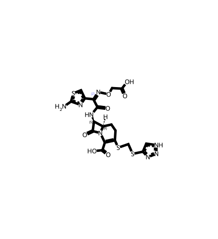 Nc1nc(/C(=N/OCC(=O)O)C(=O)N[C@@H]2C(=O)N3C(C(=O)O)=C(SCSc4c[nH]nn4)CC[C@H]23)cs1